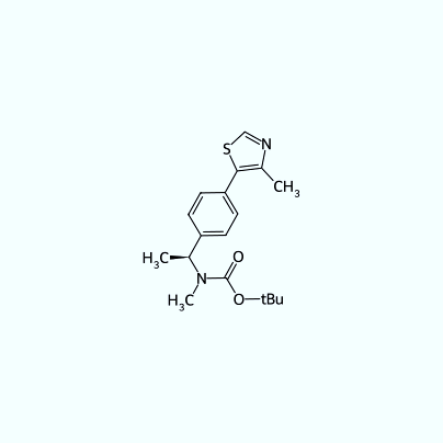 Cc1ncsc1-c1ccc([C@H](C)N(C)C(=O)OC(C)(C)C)cc1